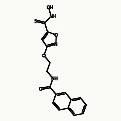 O=C(NCCOc1cc(C(=S)NO)on1)c1ccc2ccccc2c1